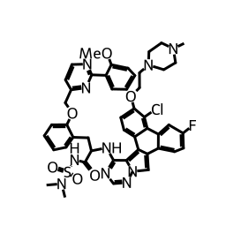 COc1ccccc1-c1nccc(COc2ccccc2CC(Nc2ncnn3cc4c5ccc(F)cc5c5c(Cl)c(OCCN6CCN(C)CC6)ccc5c4c23)C(=O)NS(=O)(=O)N(C)C)n1